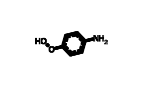 Nc1ccc(OO)cc1